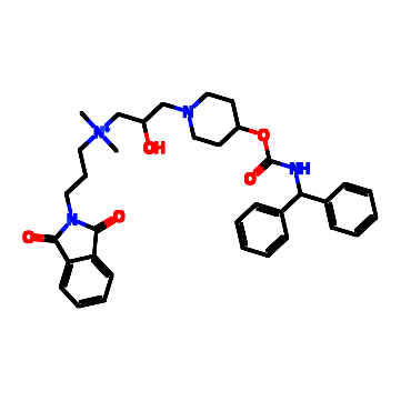 C[N+](C)(CCCN1C(=O)c2ccccc2C1=O)CC(O)CN1CCC(OC(=O)NC(c2ccccc2)c2ccccc2)CC1